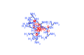 NCCN(CCN)CCNC(=O)CN(CC(=O)NCCN(CCN)CCN)CC(O)COCC(COCC(O)CN(CC(=O)NCCN(CCN)CCN)CC(=O)NCCN(CCN)CCN)(COCC(O)CN(CC(=O)NCCN(CCN)CCN)CC(=O)NCCN(CCN)CCN)COCC(O)CN(CC(=O)NCCN(CCN)CCN)CC(=O)NCCN(CCN)CCN